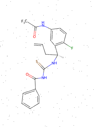 C=CC[C@](C)(NC(=S)NC(=O)c1ccccc1)c1cc(NC(=O)C(F)(F)F)ccc1F